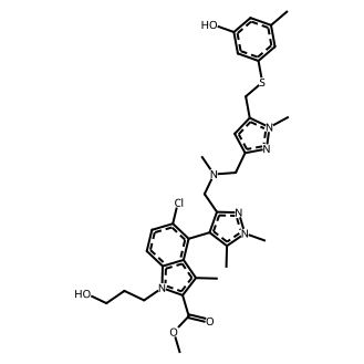 COC(=O)c1c(C)c2c(-c3c(CN(C)Cc4cc(CSc5cc(C)cc(O)c5)n(C)n4)nn(C)c3C)c(Cl)ccc2n1CCCO